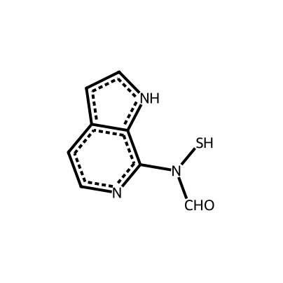 O=CN(S)c1nccc2cc[nH]c12